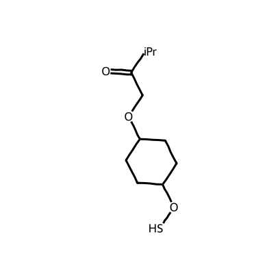 CC(C)C(=O)COC1CCC(OS)CC1